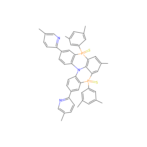 Cc1ccc(-c2ccc3c(c2)P(=S)(c2cc(C)cc(C)c2)c2cc(C)cc4c2N3c2ccc(-c3ccc(C)cn3)cc2P4(=S)c2cc(C)cc(C)c2)nc1